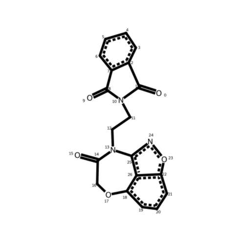 O=C1c2ccccc2C(=O)N1CCN1C(=O)COc2cccc3onc1c23